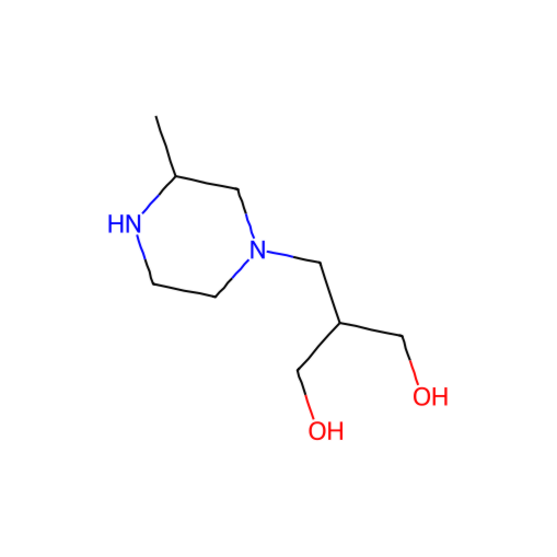 CC1CN(CC(CO)CO)CCN1